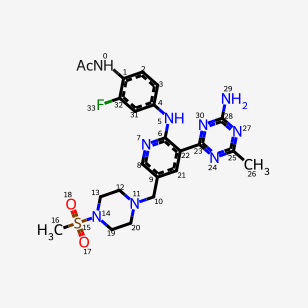 CC(=O)Nc1ccc(Nc2ncc(CN3CCN(S(C)(=O)=O)CC3)cc2-c2nc(C)nc(N)n2)cc1F